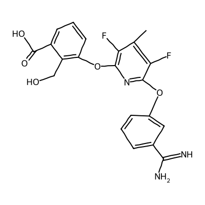 Cc1c(F)c(Oc2cccc(C(=N)N)c2)nc(Oc2cccc(C(=O)O)c2CO)c1F